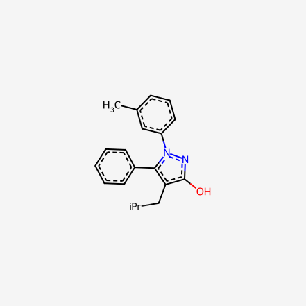 Cc1cccc(-n2nc(O)c(CC(C)C)c2-c2ccccc2)c1